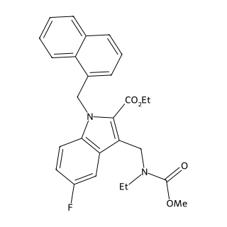 CCOC(=O)c1c(CN(CC)C(=O)OC)c2cc(F)ccc2n1Cc1cccc2ccccc12